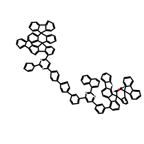 c1ccc(-c2nc(-c3ccc(-c4ccc(-c5cccc(-c6cc(-c7cccc(-c8cccc9c8-c8ccc%10c(sc%11ccccc%11%10)c8C98c9ccccc9C9(c%10ccccc%10-c%10ccccc%109)c9ccccc98)c7)nc(-c7cccc8ccccc78)n6)c5)cc4)cc3)cc(-c3cccc4c3-c3ccc5c(sc6ccccc65)c3C43c4ccccc4C4(c5ccccc5-c5ccccc54)c4ccccc43)n2)cc1